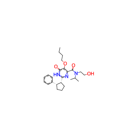 CCCCOc1c(C(=O)N(CCO)C(C)C)nc([C@@H]2CCC[C@@H]2c2ccccc2)[nH]c1=O